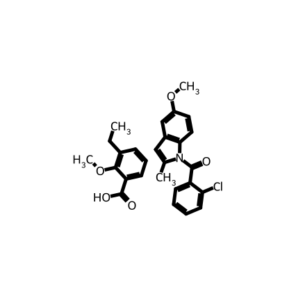 CCc1cccc(C(=O)O)c1OC.COc1ccc2c(c1)cc(C)n2C(=O)c1ccccc1Cl